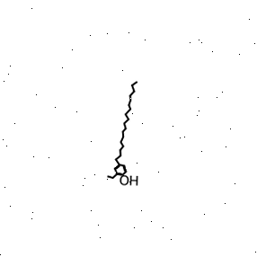 CCCCCCCCCCCCCCCCCCc1ccc(O)c(CC)c1